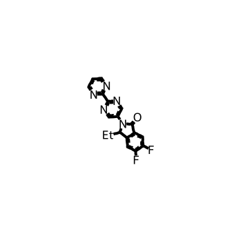 CCC1c2cc(F)c(F)cc2C(=O)N1c1cnc(-c2ncccn2)nc1